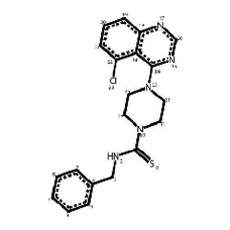 S=C(NCc1ccccc1)N1CCN(c2ncnc3cccc(Cl)c23)CC1